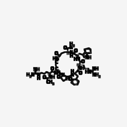 CC(=O)N[C@@H](CCCNC(=N)N)C(=O)N[C@H]1CCCNC(=O)CC[C@@H](C(N)=O)NC(=O)[C@H](Cc2c[nH]c3ccccc23)NC(=O)[C@H](CCCNC(=N)N)NC(=O)C(Cc2ccccc2)NC(=O)[C@@H]2CCCN2C1=O